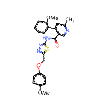 COc1ccc(OCc2nnc(NC(=O)c3cnc(C)cc3-c3ccccc3OC)s2)cc1